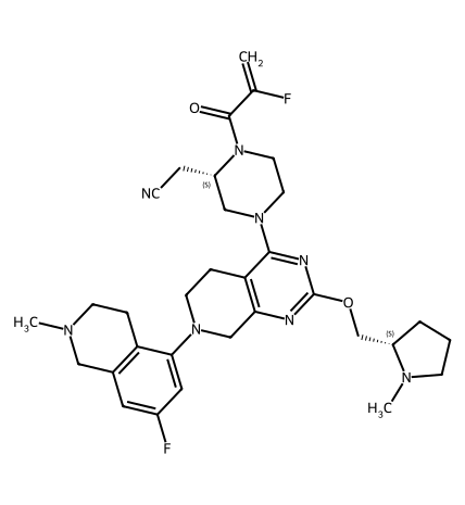 C=C(F)C(=O)N1CCN(c2nc(OC[C@@H]3CCCN3C)nc3c2CCN(c2cc(F)cc4c2CCN(C)C4)C3)C[C@@H]1CC#N